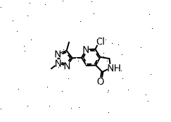 Cc1nn(C)nc1-c1cc2c(c(Cl)n1)CNC2=O